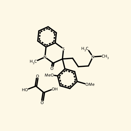 COc1ccc(OC)c(C2(CCCN(C)C)Sc3ccccc3N(C)C2=O)c1.O=C(O)C(=O)O